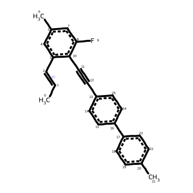 C/C=C/c1cc(C)cc(F)c1C#Cc1ccc(-c2ccc(C)cc2)cc1